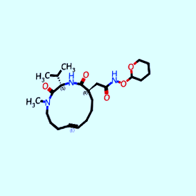 CC(C)[C@@H]1NC(=O)[C@@H](CC(=O)NOC2CCCCO2)CCC/C=C/CCCN(C)C1=O